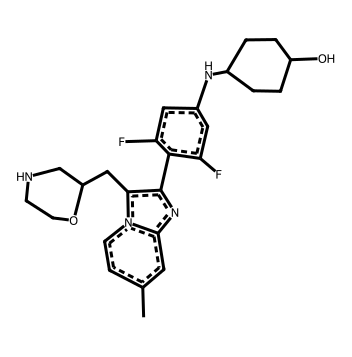 Cc1ccn2c(CC3CNCCO3)c(-c3c(F)cc(NC4CCC(O)CC4)cc3F)nc2c1